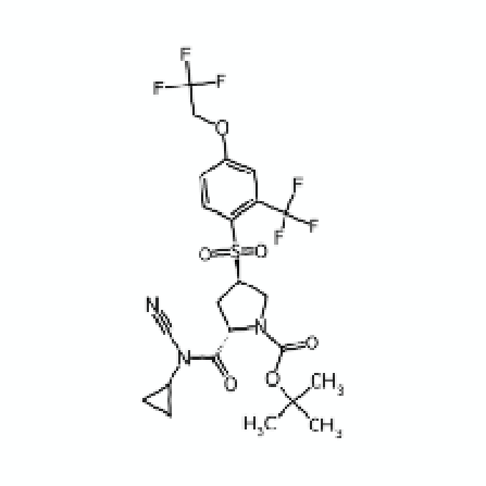 CC(C)(C)OC(=O)N1C[C@H](S(=O)(=O)c2ccc(OCC(F)(F)F)cc2C(F)(F)F)C[C@H]1C(=O)N(C#N)C1CC1